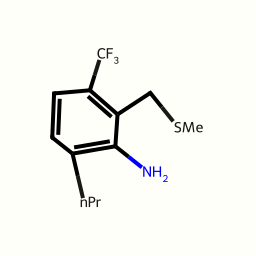 CCCc1ccc(C(F)(F)F)c(CSC)c1N